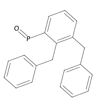 O=Pc1cccc(Cc2ccccc2)c1Cc1ccccc1